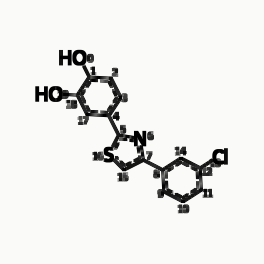 Oc1ccc(-c2nc(-c3cccc(Cl)c3)cs2)cc1O